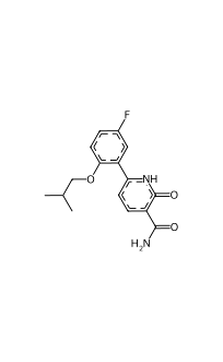 CC(C)COc1ccc(F)cc1-c1ccc(C(N)=O)c(=O)[nH]1